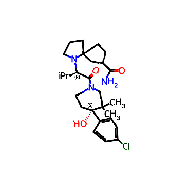 CC(C)[C@H](C(=O)N1CC[C@](O)(c2ccc(Cl)cc2)C(C)(C)C1)N1CCCC12CCC(C(N)=O)C2